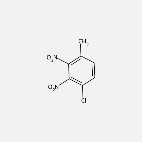 Cc1ccc(Cl)c([N+](=O)[O-])c1[N+](=O)[O-]